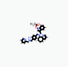 CC(=O)On1cc(CN(Cc2ccc(CNCc3ccccn3)cc2)C2CCCCc3cccnc32)c2ccccc21